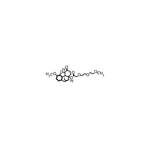 COCCOCCOCC(=O)OC12CCC(=O)[C@@H]3Oc4c(OC)ccc5c4[C@@]31CCC[C@@H]2C5